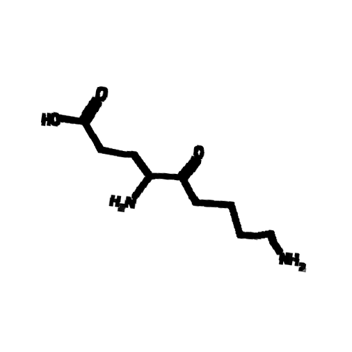 NCCCCC(=O)C(N)CCC(=O)O